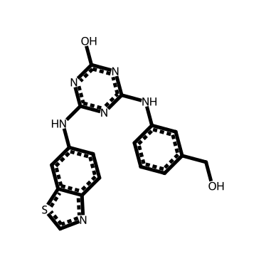 OCc1cccc(Nc2nc(O)nc(Nc3ccc4ncsc4c3)n2)c1